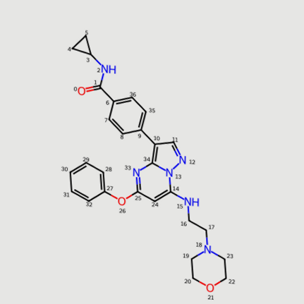 O=C(NC1CC1)c1ccc(-c2cnn3c(NCCN4CCOCC4)cc(Oc4ccccc4)nc23)cc1